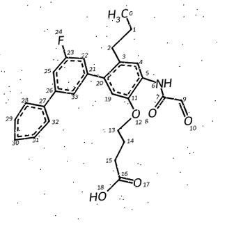 CCCc1cc(NC(=O)C=O)c(OCCCC(=O)O)cc1-c1cc(F)cc(-c2ccccc2)c1